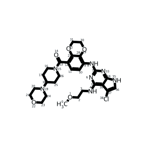 COCCNc1nc(Nc2ccc(C(=O)N3CCC(N4CCOCC4)CC3)c3c2OCCO3)nc2[nH]cc(Cl)c12